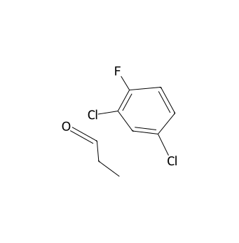 CCC=O.Fc1ccc(Cl)cc1Cl